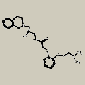 CN(C)CCOc1ccccc1OCC(=O)NCC(O)CN1CCc2ccccc2C1